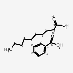 CCCCCCCCCC(=O)O.O=C(O)c1ccccc1